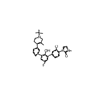 CC1=C(c2cccc(-c3cc(F)cc(-c4ccc(-n5ccn(C)c5=O)c(Cl)c4)c3O)c2)CCN(C(C)(C)C)C1